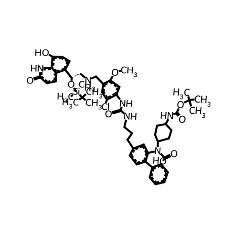 COc1cc(NC(=O)NCCCc2ccc(-c3ccccc3)c(N(C(=O)O)C3CCC(NC(=O)OC(C)(C)C)CC3)c2)c(Cl)cc1CNC[C@H](O[Si](C)(C)C(C)(C)C)c1ccc(O)c2[nH]c(=O)ccc12